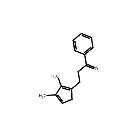 CC1=CCC(CCC(=O)c2ccccc2)=C1C